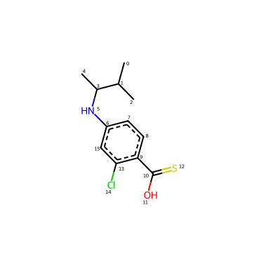 CC(C)C(C)Nc1ccc(C(O)=S)c(Cl)c1